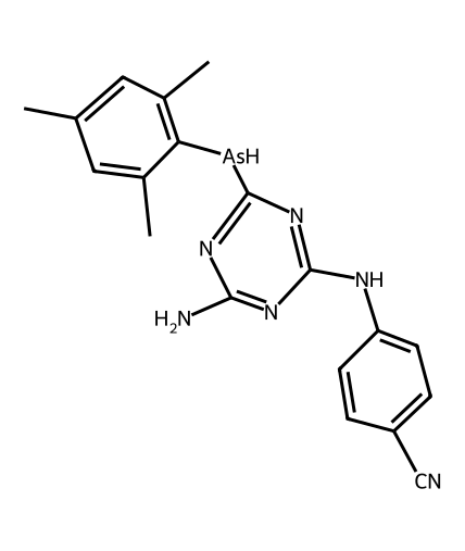 Cc1cc(C)c([AsH]c2nc(N)nc(Nc3ccc(C#N)cc3)n2)c(C)c1